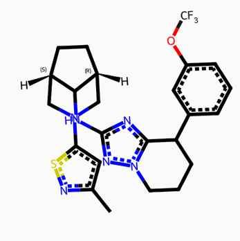 Cc1cc(N2C[C@H]3CC[C@@H](C2)C3Nc2nc3n(n2)CCCC3c2cccc(OC(F)(F)F)c2)sn1